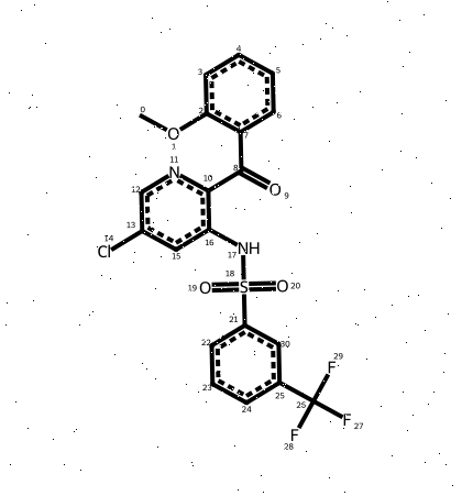 COc1ccccc1C(=O)c1ncc(Cl)cc1NS(=O)(=O)c1cccc(C(F)(F)F)c1